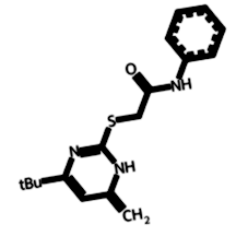 C=C1C=C(C(C)(C)C)N=C(SCC(=O)Nc2ccccc2)N1